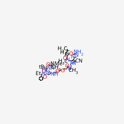 C/C=C\C(F)=C/C1C(=O)N(C)Cc2c(c(C#N)nn2CCN(C)C(=O)CCOCCOCCN[C@H]2C[C@@H](C(=O)N[C@H](CC)c3ccccc3)N(C(=O)[C@@H](NC(=O)[C@H](C)NC)C(C)(C)C)C2)-c2cnc(N)c(n2)O[C@@H]1C